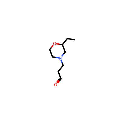 CCC1CN(CCC=O)CCO1